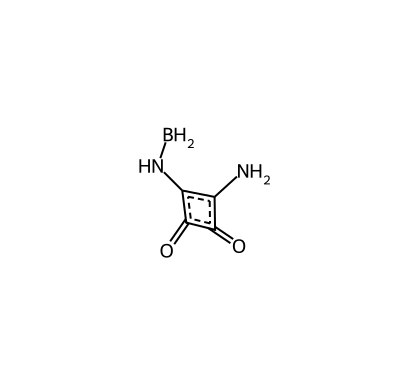 BNc1c(N)c(=O)c1=O